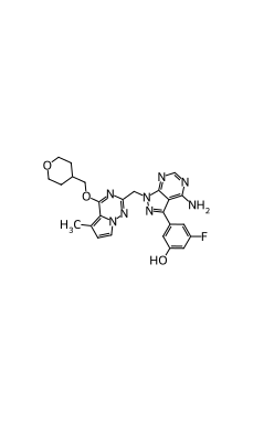 Cc1ccn2nc(Cn3nc(-c4cc(O)cc(F)c4)c4c(N)ncnc43)nc(OCC3CCOCC3)c12